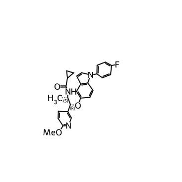 COc1ccc([C@@H](Oc2ccc3c(ccn3-c3ccc(F)cc3)c2)[C@H](C)NC(=O)C2CC2)cn1